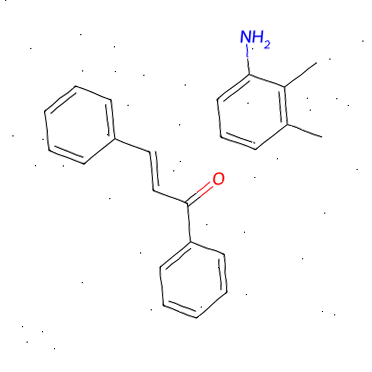 Cc1cccc(N)c1C.O=C(C=Cc1ccccc1)c1ccccc1